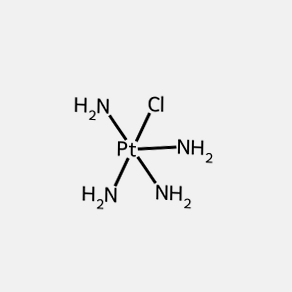 [NH2][Pt]([NH2])([NH2])([NH2])[Cl]